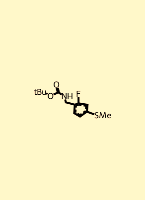 CSc1ccc(CNC(=O)OC(C)(C)C)c(F)c1